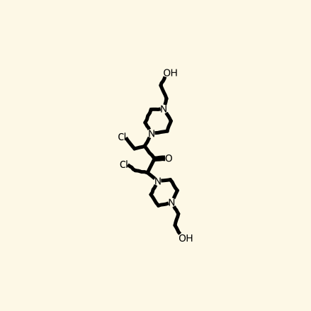 O=C(C(CCl)N1CCN(CCO)CC1)C(CCl)N1CCN(CCO)CC1